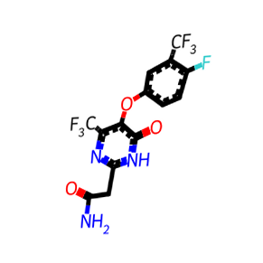 NC(=O)Cc1nc(C(F)(F)F)c(Oc2ccc(F)c(C(F)(F)F)c2)c(=O)[nH]1